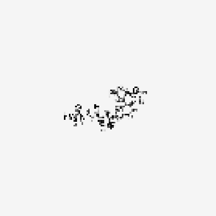 O=C1NCCN1CCNc1ncc(F)c(-c2cc3cccc(-c4cc(F)ncc4C4OCCO4)c3s2)n1